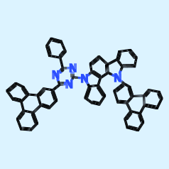 c1ccc(-c2nc(-c3ccc4c5ccccc5c5ccccc5c4c3)nc(-n3c4ccccc4c4c3ccc3c5ccccc5n(-c5ccc6c7ccccc7c7ccccc7c6c5)c34)n2)cc1